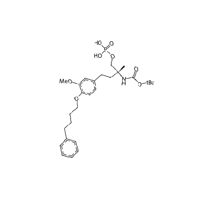 COc1cc(CC[C@](C)(COP(=O)(O)O)NC(=O)OC(C)(C)C)ccc1OCCCCc1ccccc1